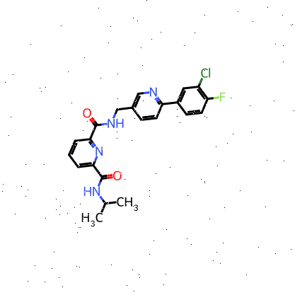 CC(C)NC(=O)c1cccc(C(=O)NCc2ccc(-c3ccc(F)c(Cl)c3)nc2)n1